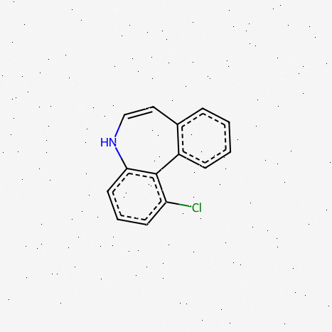 Clc1cccc2c1-c1ccccc1C=CN2